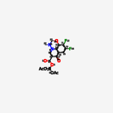 CC(=O)OB(OC(C)=O)OC(=O)c1cn2c3c(c(F)c(F)cc3c1=O)OCN2C